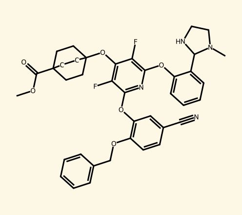 COC(=O)C12CCC(Oc3c(F)c(Oc4cc(C#N)ccc4OCc4ccccc4)nc(Oc4ccccc4C4NCCN4C)c3F)(CC1)CC2